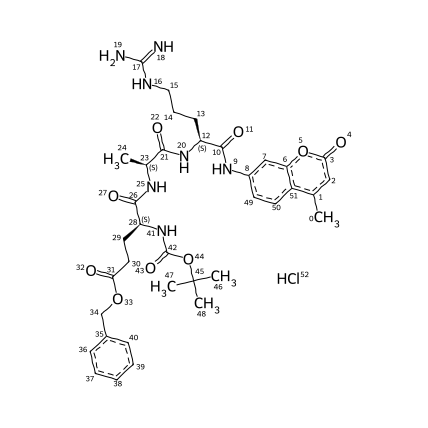 Cc1cc(=O)oc2cc(NC(=O)[C@H](CCCNC(=N)N)NC(=O)[C@H](C)NC(=O)[C@H](CCC(=O)OCc3ccccc3)NC(=O)OC(C)(C)C)ccc12.Cl